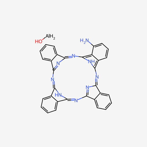 Nc1cccc2c3nc4nc(nc5[nH]c(nc6nc(nc([nH]3)c12)-c1ccccc1-6)c1ccccc51)-c1ccccc1-4.[OH][AlH2]